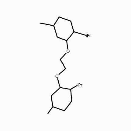 CC1CCC(C(C)C)C(OCCOC2CC(C)CCC2C(C)C)C1